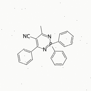 CC1=NP(c2ccccc2)(c2ccccc2)=NC(c2ccccc2)=C1C#N